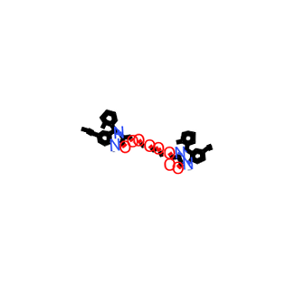 C#Cc1ccc2c(c1)C(c1ccccc1C)=NC(C(=O)OCOCOCOOCC1N=C(c3ccccc3C)c3cc(C#CC)ccc3N(C)C1=O)C(=O)N2C